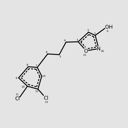 Oc1cc(CCCc2ccc(Cl)c(Cl)c2)on1